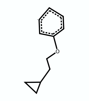 [c]1cccc(OCCC2CC2)c1